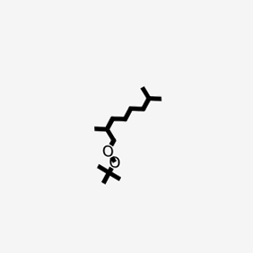 CC(C)CCCCC(C)COOC(C)(C)C